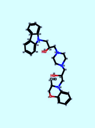 O=CC1COc2ccccc2N1CC(O)CN1CCN(CC(O)Cn2c3ccccc3c3ccccc32)CC1